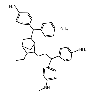 CCC1C2CC(C(c3ccc(N)cc3)c3ccc(N)cc3)C(C2)C1CCC(c1ccc(N)cc1)c1ccc(NC)cc1